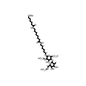 COCCCCCC(=O)NCCCCCCCC(=O)NCCCCCCOC1OC(C(=O)O)C(OC2OC(COS(=O)(=O)O)C(O)C(O)C2C)C(O)C1OS(=O)(=O)O